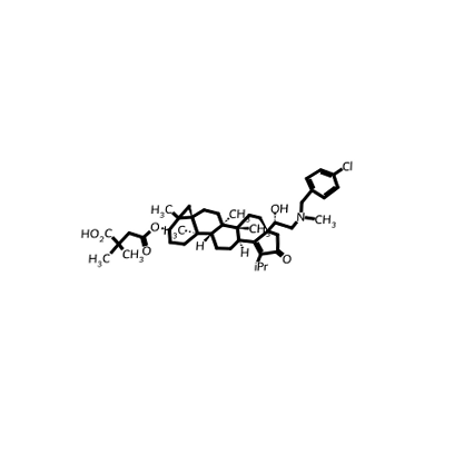 CC(C)C1=C2[C@H]3CC[C@@H]4[C@@]5(C)CC[C@H](OC(=O)CC(C)(C)C(=O)O)C6(C)C[C@]65CC[C@@]4(C)[C@]3(C)CC[C@@]2([C@H](O)CN(C)Cc2ccc(Cl)cc2)CC1=O